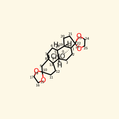 C[C@]12CC[C@H]3[C@@H](CC=C4CC5(CC[C@@]43C=O)OCCO5)[C@@H]1CCC21OCCO1